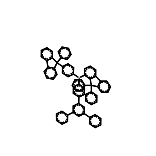 c1ccc(-c2cc(-c3ccccc3)cc(-c3ccc(N(c4ccc(C5(c6ccccc6)c6ccccc6-c6ccccc65)cc4)c4cccc5c4C(c4ccccc4)(c4ccccc4)c4ccccc4-5)cc3)c2)cc1